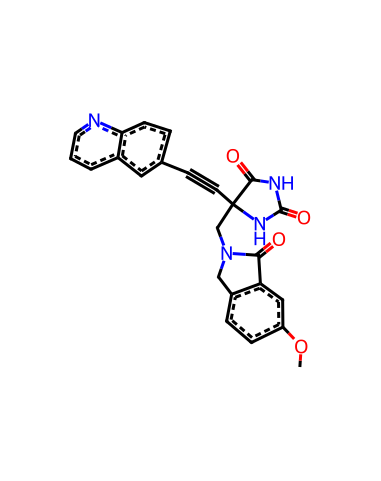 COc1ccc2c(c1)C(=O)N(CC1(C#Cc3ccc4ncccc4c3)NC(=O)NC1=O)C2